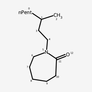 CCCCCC(C)CCN1CCCCCC1=O